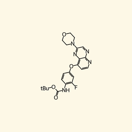 CC(C)(C)OC(=O)Nc1ccc(Oc2ccnc3ncc(N4CCOCC4)nc23)cc1F